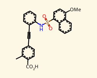 COc1ccc(S(=O)(=O)Nc2ccccc2C#Cc2ccc(C(=O)O)c(C)c2)c2ccccc12